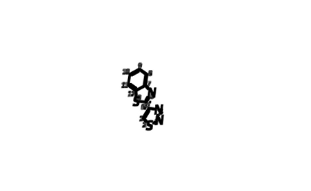 [c]1csnn1.[c]1nc2ccccc2s1